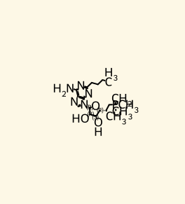 C=P(C)(C)CC(C)[C@H]1O[C@@H](n2cnc3c(N)nc(CCCC)nc32)[C@H](O)[C@@H]1O